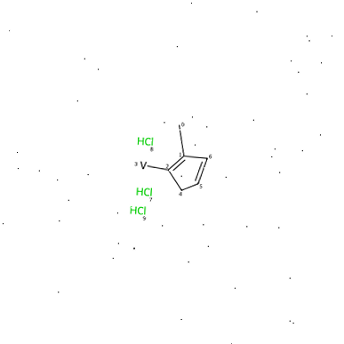 CC1=[C]([V])CC=C1.Cl.Cl.Cl